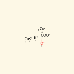 O=C([O-])[O-].[Cu].[Cu].[K+].[K+]